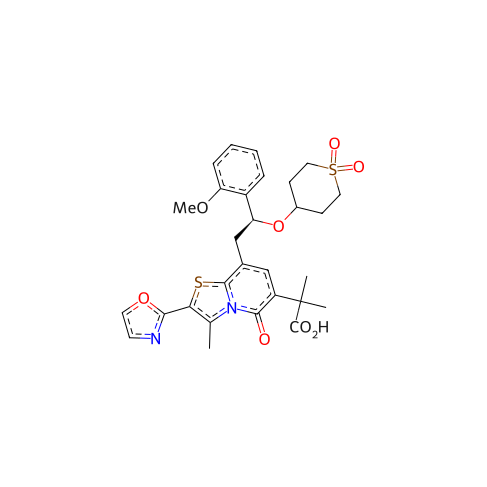 COc1ccccc1[C@H](Cc1cc(C(C)(C)C(=O)O)c(=O)n2c(C)c(-c3ncco3)sc12)OC1CCS(=O)(=O)CC1